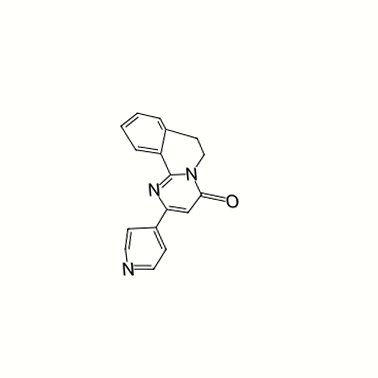 O=c1cc(-c2ccncc2)nc2n1CCc1ccccc1-2